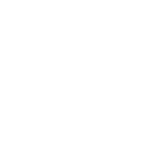 Clc1c(I)ccn2nc(C3CCCC3)nc12